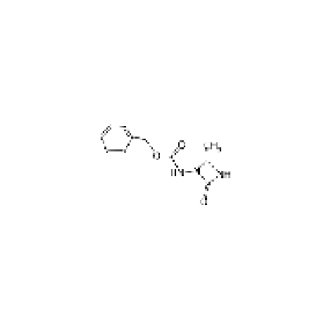 C[C@@H]1NC(=O)N1NC(=O)OCc1ccccc1